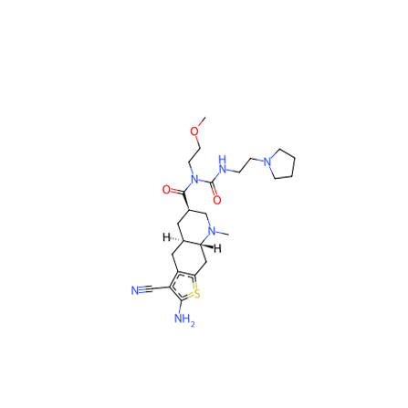 COCCN(C(=O)NCCN1CCCC1)C(=O)[C@@H]1C[C@@H]2Cc3c(sc(N)c3C#N)C[C@H]2N(C)C1